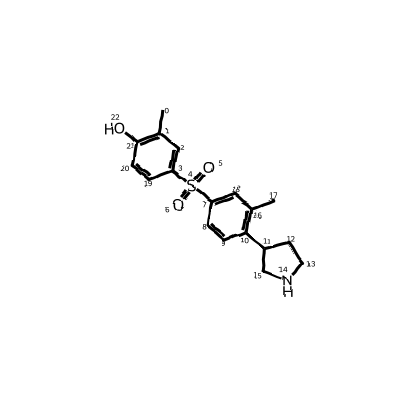 Cc1cc(S(=O)(=O)c2ccc(C3CCNC3)c(C)c2)ccc1O